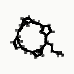 NCCc1c2nc(cc3ccc(cc4nc(cc5ccc1[nH]5)C=C4)[nH]3)C=C2